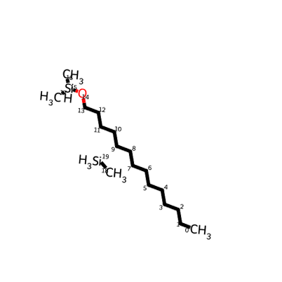 CCCCCCCCCCCCCCO[SiH](C)C.C[SiH3]